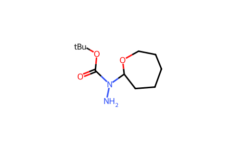 CC(C)(C)OC(=O)N(N)C1CCCCCO1